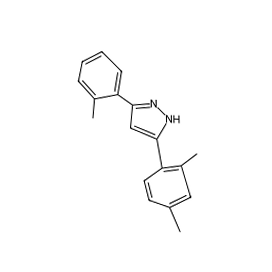 Cc1ccc(-c2cc(-c3ccccc3C)n[nH]2)c(C)c1